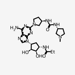 CCC(=O)N[C@H]1C[C@@H](n2cnc3c(N)nc(N4CC[C@@H](NC(=O)N[C@@H]5CCN(C)C5)C4)nc32)[C@H](O)[C@@H]1O